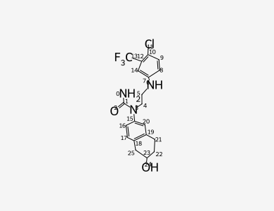 NC(=O)N(CCNc1ccc(Cl)c(C(F)(F)F)c1)c1ccc2c(c1)CCC(O)C2